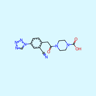 N#Cc1cc(-n2cnnn2)ccc1CC(=O)N1CCN(C(=O)O)CC1